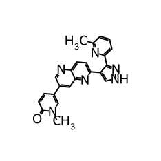 Cc1cccc(-c2n[nH]cc2-c2ccc3ncc(-c4ccc(=O)n(C)c4)cc3n2)n1